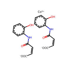 O=C([O-])/C=C\C(=O)Nc1ccccc1O.O=C([O-])/C=C\C(=O)Nc1ccccc1O.[Co+2]